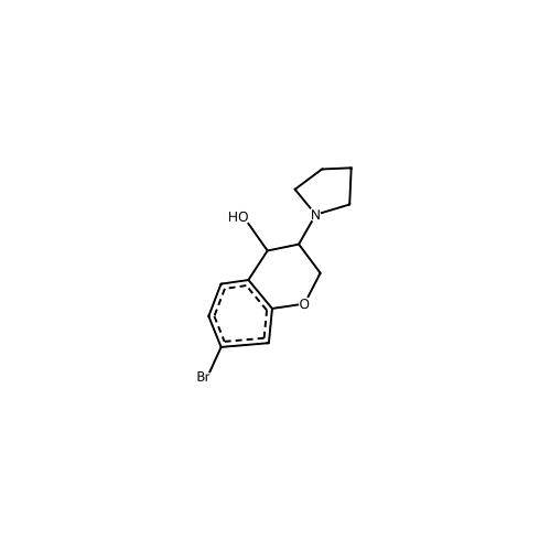 OC1c2ccc(Br)cc2OCC1N1CCCC1